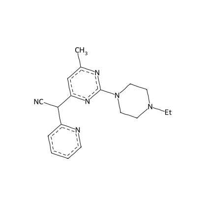 CCN1CCN(c2nc(C)cc(C(C#N)c3ccccn3)n2)CC1